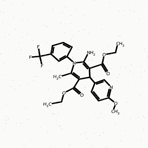 CCOC(=O)C1=C(C)N(c2cccc(C(F)(F)F)c2)C(N)=C(C(=O)OCC)C1c1ccc(OC)nc1